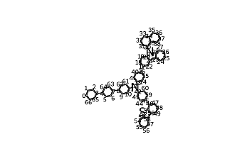 c1ccc(-c2ccc(-c3ccc(N(c4ccc(-c5ccc6c(c5)c5ccccc5n6-c5cccc6ccccc56)cc4)c4ccc(-c5cccc6c5sc5ccccc56)cc4)cc3)cc2)cc1